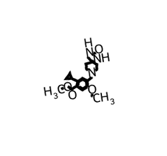 CCOc1cc(C(=O)OC)c(C2CC2)cc1CN1CCC2(CC1)CNC(=O)N2